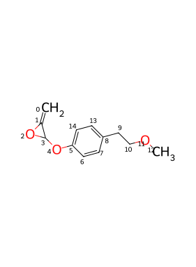 C=C1OC1Oc1ccc(CCOC)cc1